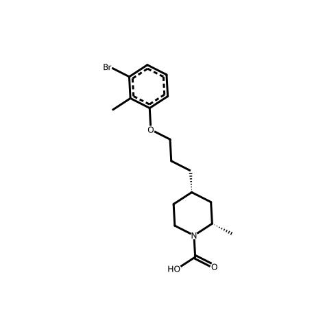 Cc1c(Br)cccc1OCCC[C@H]1CCN(C(=O)O)[C@@H](C)C1